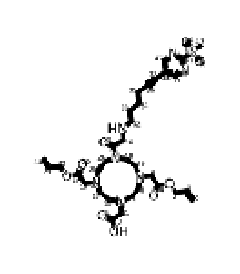 C=CCOC(=O)CN1CCN(CC(=O)O)CCN(CC(=O)OCC=C)CCN(C(=O)CNCCCCC#Cc2cnc(S(C)(=O)=O)nc2)CC1